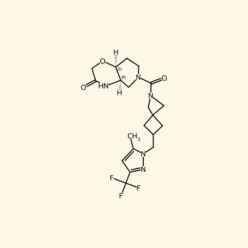 Cc1cc(C(F)(F)F)nn1CC1CC2(C1)CN(C(=O)N1CC[C@@H]3OCC(=O)N[C@@H]3C1)C2